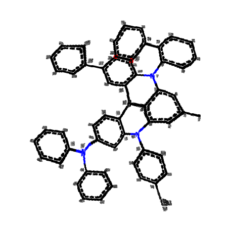 Cc1cc2c3c(c1)N(c1ccccc1-c1ccccc1)c1ccc(-c4ccccc4)cc1B3c1ccc(N(c3ccccc3)c3ccccc3)cc1N2c1ccc(C(C)(C)C)cc1